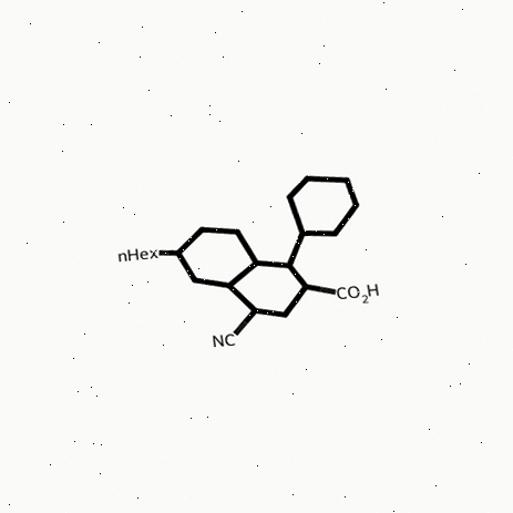 CCCCCCC1CCC2C(C1)C(C#N)CC(C(=O)O)C2C1CCCCC1